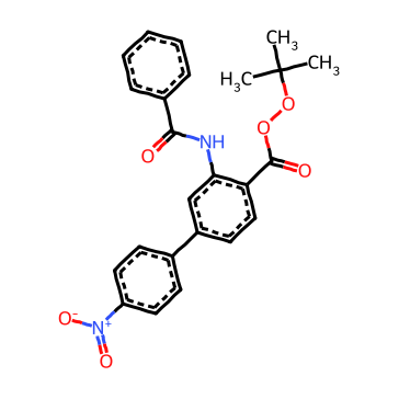 CC(C)(C)OOC(=O)c1ccc(-c2ccc([N+](=O)[O-])cc2)cc1NC(=O)c1ccccc1